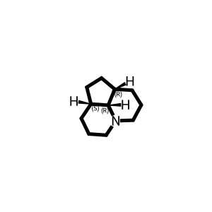 C1C[C@@H]2CC[C@@H]3CCCN(C1)[C@H]23